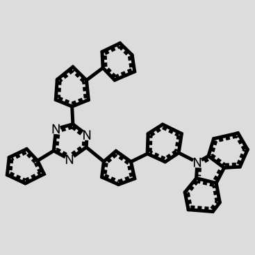 c1ccc(-c2cccc(-c3nc(-c4ccccc4)nc(-c4cccc(-c5cccc(-n6c7ccccc7c7ccccc76)c5)c4)n3)c2)cc1